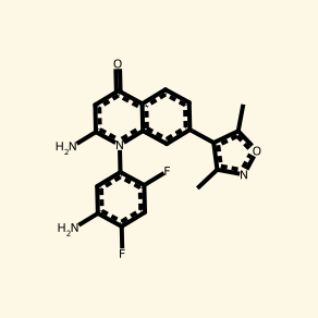 Cc1noc(C)c1-c1ccc2c(=O)cc(N)n(-c3cc(N)c(F)cc3F)c2c1